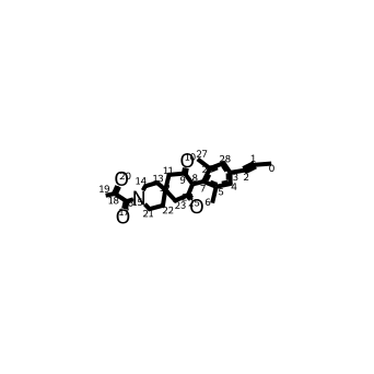 CC#Cc1cc(C)c(C2C(=O)CC3(CCN(C(=O)C(C)=O)CC3)CC2=O)c(C)c1